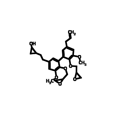 C=CCc1cc(OC)c(OCC2CO2)c(-c2cc(CCC3CC3O)cc(OC)c2OCC2CO2)c1